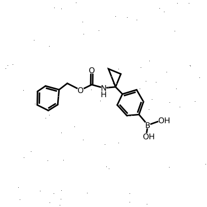 O=C(NC1(c2ccc(B(O)O)cc2)CC1)OCc1ccccc1